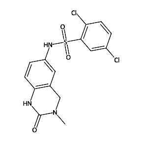 CN1Cc2cc(NS(=O)(=O)c3cc(Cl)ccc3Cl)ccc2NC1=O